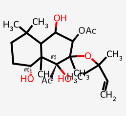 C=CC(C)(C)OC1(C)C(OC(C)=O)C(O)C2C(C)(C)CC[C@@H](O)C2(C)[C@]1(O)C(C)=O